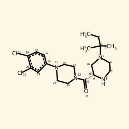 CCC(C)(C)N1CCN[C@H](C(=O)N2CCN(c3ccc(Cl)c(Cl)c3)CC2)C1